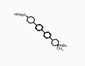 CCCCCCCC1CCC(c2ccc(-c3ccc(C4CCC(C)(CCCC)CC4)cc3)cc2)CC1